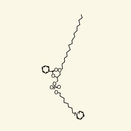 CCCCCCCCCCCCCCCCCCOCC(COP(=O)([O-])OCCCCCCCC[n+]1ccccc1)OC(=O)c1ccccc1